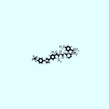 C/C(NC(=O)/N=C1\SCCC(C)N1c1cc(C)ccc1C(C)C)=C(/C)c1ccc(-c2ncn(-c3ccc(OC(F)(F)F)cc3)n2)cc1